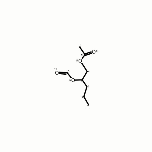 CCCC(COC(C)=O)OC=O